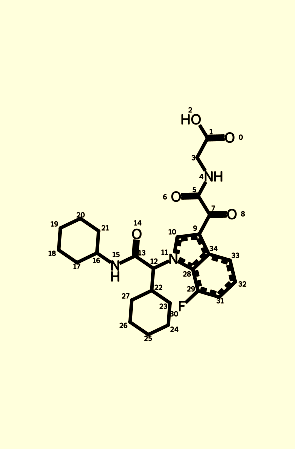 O=C(O)CNC(=O)C(=O)c1cn(C(C(=O)NC2CCCCC2)C2CCCCC2)c2c(F)cccc12